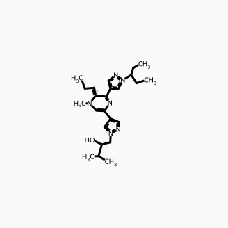 CC/C=C1/C(c2cnn(C(CC)CC)c2)=NC(c2cnn(CC(O)C(C)C)c2)=CN1C